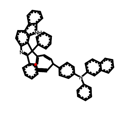 C1#CC(c2ccc(N(c3ccccc3)c3ccc4ccccc4c3)cc2)C=CC(C2(c3ccccc3)C(c3ccccc3)=Nc3ccc4c([nH]c5ccccc54)c32)=C1